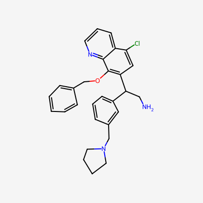 NCC(c1cccc(CN2CCCC2)c1)c1cc(Cl)c2cccnc2c1OCc1ccccc1